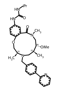 CO[C@H]1CN(C)C(=O)c2cc(NC(=O)NC(C)C)ccc2OC[C@H](C)N(Cc2ccc(-c3ccccn3)cc2)C[C@@H]1C